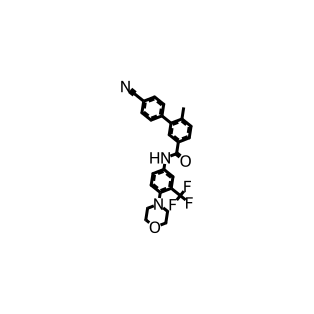 Cc1ccc(C(=O)Nc2ccc(N3CCOCC3)c(C(F)(F)F)c2)cc1-c1ccc(C#N)cc1